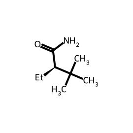 CC[C@@H](C(N)=O)C(C)(C)C